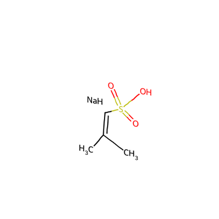 CC(C)=CS(=O)(=O)O.[NaH]